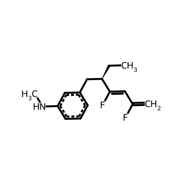 C=C(F)/C=C(\F)[C@H](CC)Cc1cccc(NC)c1